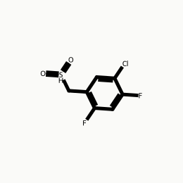 O=[SH](=O)Cc1cc(Cl)c(F)cc1F